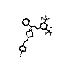 FC(F)(F)c1cc(C[CH]C(c2ccccc2)N2CCN(CCc3ccc(Cl)cc3)CC2)cc(C(F)(F)F)c1